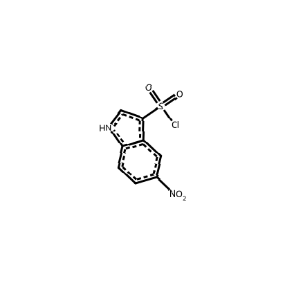 O=[N+]([O-])c1ccc2[nH]cc(S(=O)(=O)Cl)c2c1